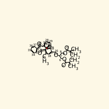 C=C(C)C(=O)OCC(COC(=O)C(=C)C)OCc1cc(C)c(C(=O)P(=O)(c2ccccc2)c2ccccc2)c(C)c1